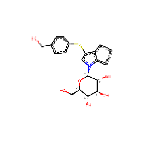 OCc1ccc(Sc2cn([C@@H]3O[C@H](CO)[C@@H](O)[C@H](O)[C@H]3O)c3ccccc23)cc1